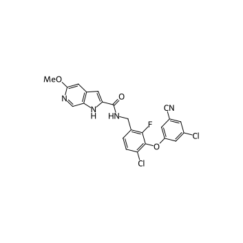 COc1cc2cc(C(=O)NCc3ccc(Cl)c(Oc4cc(Cl)cc(C#N)c4)c3F)[nH]c2cn1